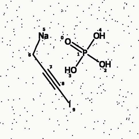 O=P(O)(O)O.[Na][CH2]C#CI